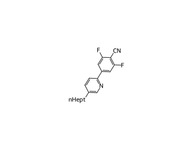 CCCCCCCc1ccc(-c2cc(F)c(C#N)c(F)c2)nc1